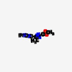 Cc1cc(C2CCN(C3CCN(C(C)C)CC3)CC2)cn2nc(-c3ccc(S(C)(=O)=O)cc3)nc12